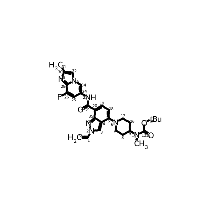 C=Cn1cc2c(N3CCC(N(C)C(=O)OC(C)(C)C)CC3)ccc(C(=O)Nc3cc(F)c4nc(C)cn4c3)c2n1